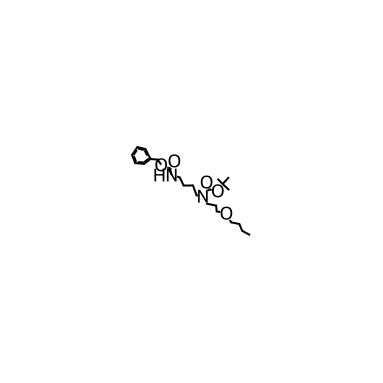 CCCCOCCCN(CCCCNC(=O)OCc1ccccc1)C(=O)OC(C)(C)C